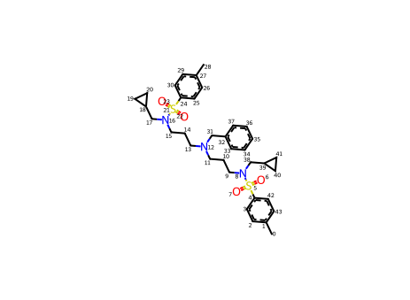 Cc1ccc(S(=O)(=O)N(CCCN(CCCN(CC2CC2)S(=O)(=O)c2ccc(C)cc2)Cc2ccccc2)CC2CC2)cc1